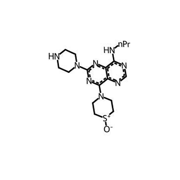 CCCNc1ncnc2c(N3CC[S+]([O-])CC3)nc(N3CCNCC3)nc12